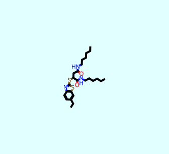 CCCCCCNC(=O)CC(Sc1nc2ccc(CC)cc2s1)C(=O)NCCCCCC